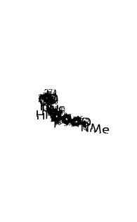 CNC(=O)c1ccc(-c2ccc(-c3c(F)cc4[nH]c(O[C@@H]5CO[C@H]6[C@@H]5OC[C@H]6C)nc4c3F)cc2)cc1